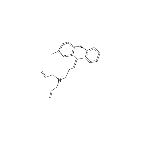 C=CCN(CC=C)CCC=C1c2ccccc2Sc2ccc(C)cc21